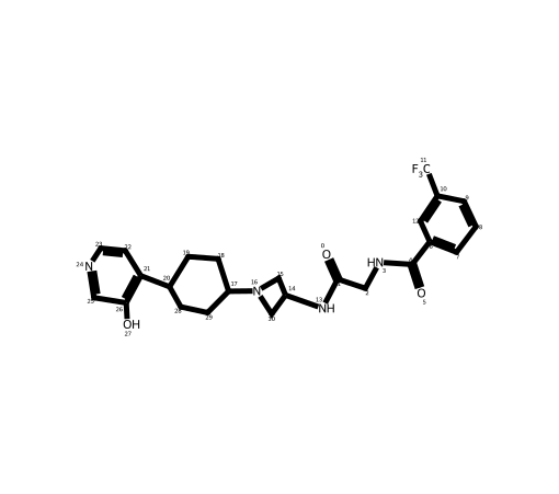 O=C(CNC(=O)c1cccc(C(F)(F)F)c1)NC1CN(C2CCC(c3ccncc3O)CC2)C1